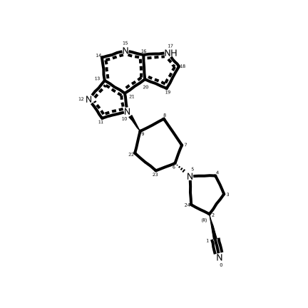 N#C[C@@H]1CCN([C@H]2CC[C@H](n3cnc4cnc5[nH]ccc5c43)CC2)C1